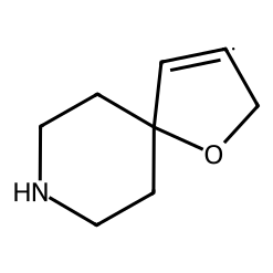 [C]1=CC2(CCNCC2)OC1